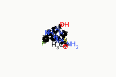 CC1=C(C(N)=O)SC(c2cccnc2)N1c1cn2nc(-c3c(-c4ccc(F)cc4)ncn3C3CCN(CCO)CC3)ccc2n1